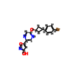 Oc1cc(-c2cnc(OC3CC(c4ccc(Br)cc4)C3)cn2)on1